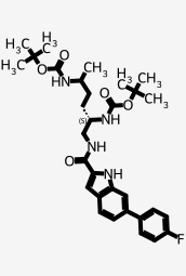 CC(CC[C@@H](CNC(=O)c1cc2ccc(-c3ccc(F)cc3)cc2[nH]1)NC(=O)OC(C)(C)C)NC(=O)OC(C)(C)C